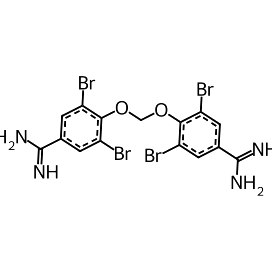 N=C(N)c1cc(Br)c(OCOc2c(Br)cc(C(=N)N)cc2Br)c(Br)c1